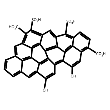 O=C(O)c1ccc2c(S(=O)(=O)O)c3cc4c(S(=O)(=O)O)c(C(=O)O)c5cc6cccc7cc8c(O)cc9c%10c(O)cc1c2c%10c3c1c4c5c(c67)c8c91